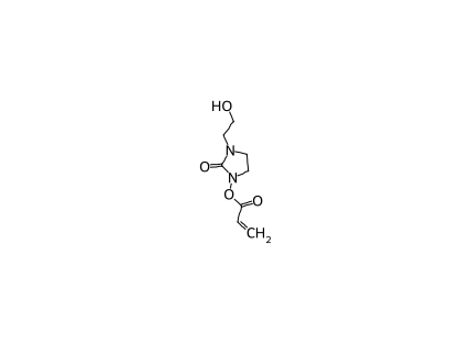 C=CC(=O)ON1CCN(CCO)C1=O